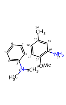 CN(C)c1ccccc1.COc1ccc(C)cc1N